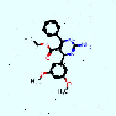 CCOC(=O)C1=C(c2ccccc2)NC(N)=NC1c1cc(OC)cc(OC)c1